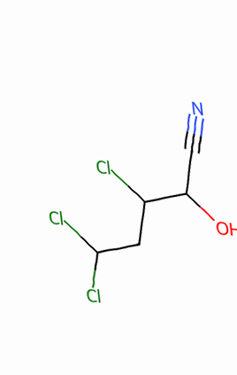 N#CC(O)C(Cl)CC(Cl)Cl